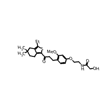 CCc1sc(C(=O)CCc2ccc(OCCNC(=O)CO)cc2OC)c2c1CC(C)(C)CC2